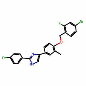 Cc1cc(-c2c[nH]c(-c3ccc(F)cc3)n2)ccc1OCc1ccc(Br)cc1F